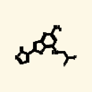 Nc1cc(NCC(F)F)c2sc(-c3ccn[nH]3)cc2n1